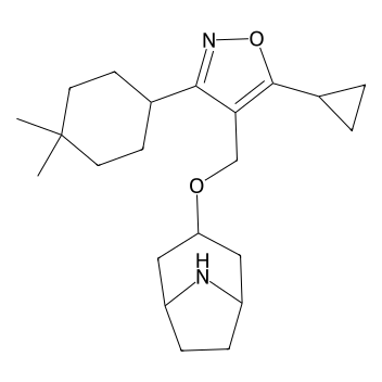 CC1(C)CCC(c2noc(C3CC3)c2COC2CC3CCC(C2)N3)CC1